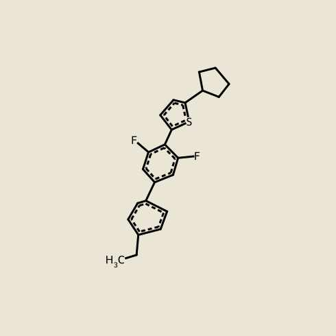 CCc1ccc(-c2cc(F)c(-c3ccc(C4CCCC4)s3)c(F)c2)cc1